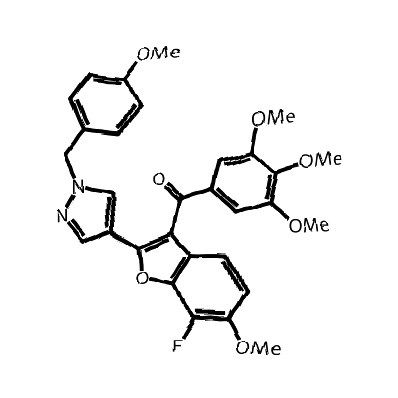 COc1ccc(Cn2cc(-c3oc4c(F)c(OC)ccc4c3C(=O)c3cc(OC)c(OC)c(OC)c3)cn2)cc1